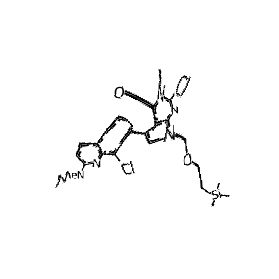 CNc1ccc2ccc(-c3cn(COCC[Si](C)(C)C)c4nc(Cl)n(C)c(=O)c34)c(Cl)c2n1